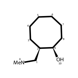 CNC[C@H]1CCCCCC[C@H]1O